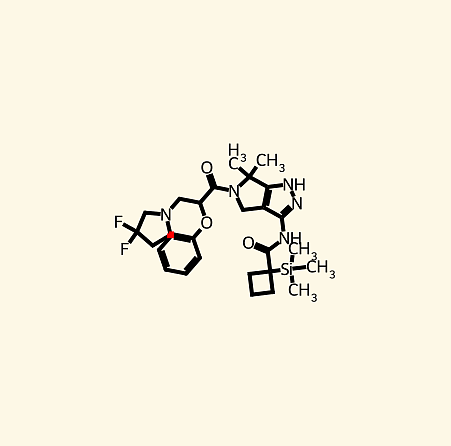 CC1(C)c2[nH]nc(NC(=O)C3([Si](C)(C)C)CCC3)c2CN1C(=O)C(CN1CCC(F)(F)C1)Oc1ccccc1